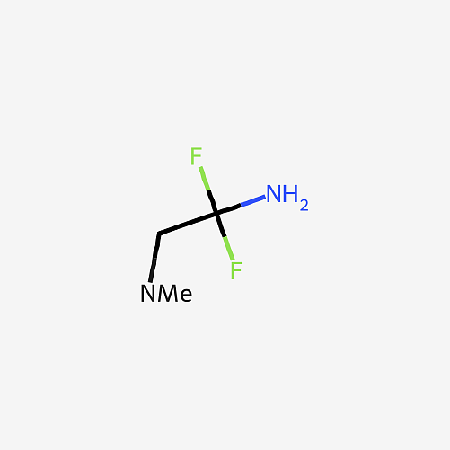 CNCC(N)(F)F